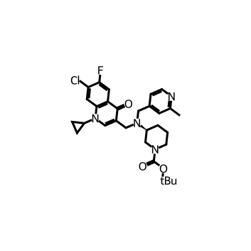 Cc1cc(CN(Cc2cn(C3CC3)c3cc(Cl)c(F)cc3c2=O)[C@H]2CCCN(C(=O)OC(C)(C)C)C2)ccn1